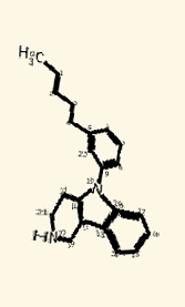 CCCCCc1cccc(-n2c3c(c4ccccc42)CNCC3)c1